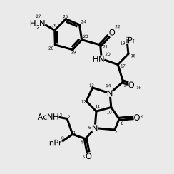 CCCC(CNC(C)=O)C(=O)N1CC(=O)C2C1CCN2C(=O)C(CC(C)C)NC(=O)c1ccc(N)cc1